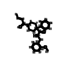 CC=CC(=O)N1CCC(C(=O)NCc2ccccc2OC)(c2ccccc2)CC1